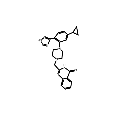 O=c1[nH]c(CN2CCN(c3cc(C4CC4)ccc3-c3nn[nH]n3)CC2)nc2ccccc12